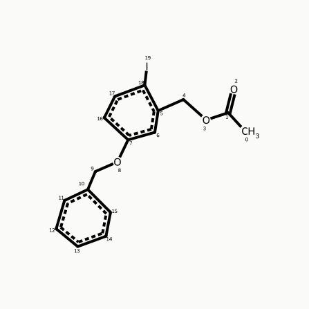 CC(=O)OCc1cc(OCc2ccccc2)ccc1I